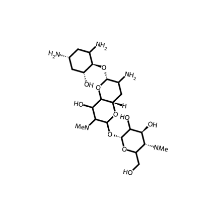 CNC1C(O[C@H]2OC(CO)[C@@H](NC)[C@H](O)C2O)O[C@H]2CC(N)[C@@H](O[C@@H]3C(N)C[C@@H](N)C[C@H]3O)OC2C1O